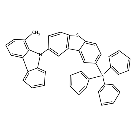 Cc1cccc2c3ccccc3n(-c3ccc4sc5ccc([Si](c6ccccc6)(c6ccccc6)c6ccccc6)cc5c4c3)c12